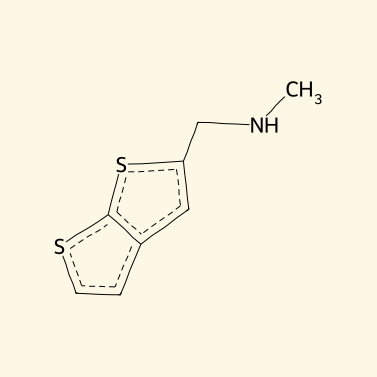 CNCc1cc2ccsc2s1